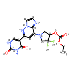 O=C(OCC(F)(F)F)OC1CN(c2cc(-c3c[nH]c(=O)[nH]c3=O)nn3ccnc23)CC1(F)F